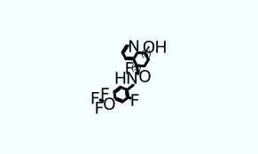 O=C(NCc1ccc(OC(F)(F)F)cc1F)[C@]1(F)CC[C@H](O)c2ncccc21